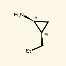 CCC[C@@H]1C[C@@H]1N